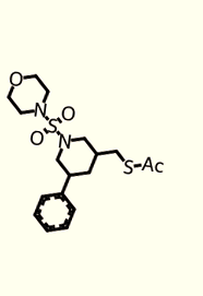 CC(=O)SCC1CC(c2ccccc2)CN(S(=O)(=O)N2CCOCC2)C1